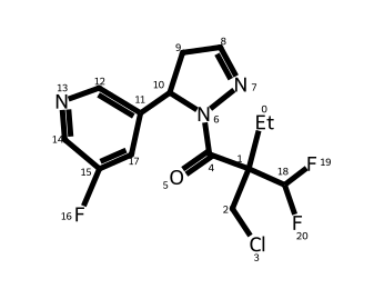 CCC(CCl)(C(=O)N1N=CCC1c1cncc(F)c1)C(F)F